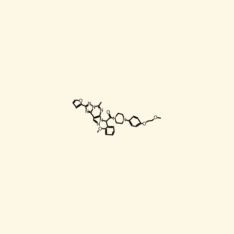 COCCOc1ccc(N2CCN(C(=O)C(c3ccccc3OC)n3ncc4c3nc(C)n3nc(-c5ccco5)nc43)CC2)cc1